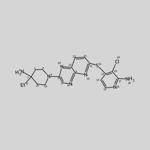 CCC1(N)CCN(c2cnc3nc(Sc4ccnc(N)c4Cl)ccc3n2)CC1